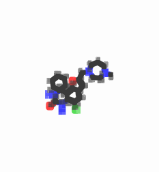 CN1CCCN(Cc2cc3cc(Cl)c4c(c3o2)C2(CCCCC2)NC(=O)N4)CC1